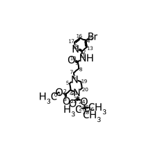 COC(=O)C1CN(CCC(=O)Nc2cc(Br)ccn2)CCN1C(=O)OC(C)(C)C